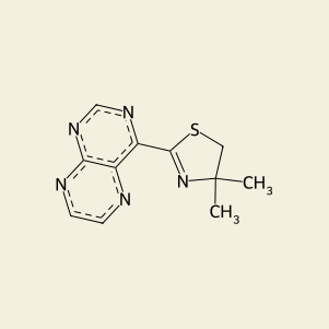 CC1(C)CSC(c2ncnc3nccnc23)=N1